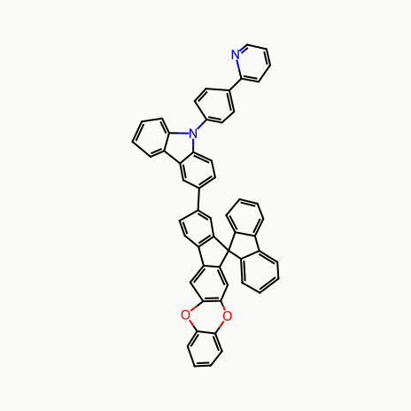 c1ccc(-c2ccc(-n3c4ccccc4c4cc(-c5ccc6c(c5)C5(c7ccccc7-c7ccccc75)c5cc7c(cc5-6)Oc5ccccc5O7)ccc43)cc2)nc1